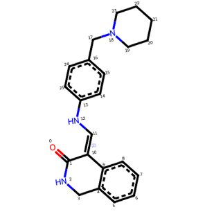 O=C1NCc2ccccc2/C1=C/Nc1ccc(CN2CCCCC2)cc1